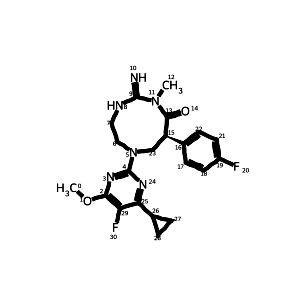 COc1nc(N2CCNC(=N)N(C)C(=O)[C@@H](c3ccc(F)cc3)C2)nc(C2CC2)c1F